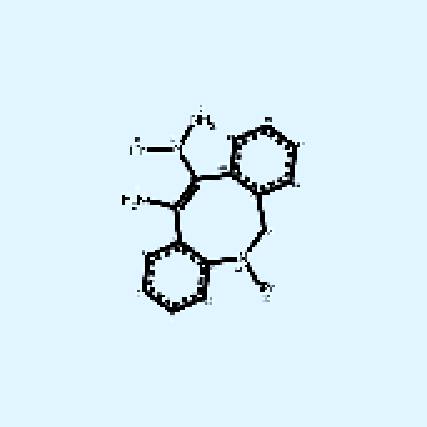 CC(C)N(N)/C1=C(\N)c2ccccc2N(C(C)C)Cc2ccccc21